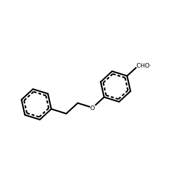 O=[C]c1ccc(OCCc2ccccc2)cc1